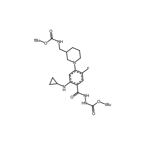 CC(C)(C)OC(=O)NCC1CCCN(c2cc(NC3CC3)c(C(=O)NNC(=O)OC(C)(C)C)cc2F)C1